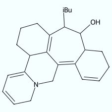 CCC(C)C1C2=C3C(=C4C=CCCC4C1O)CN1CC=CC=C1C3CCC2